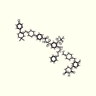 CC1(C)CCC(c2ccc(Cl)cc2)=C(CN2CCN(c3ccc(C(=O)NS(=O)(=O)c4ccc(N[C@H](CCN5CCN(Cc6cc(C7CCC(=O)NC7=O)ncc6F)CC5)CSc5ccccc5)c(S(=O)(=O)C(F)(F)F)c4)cc3)CC2)C1